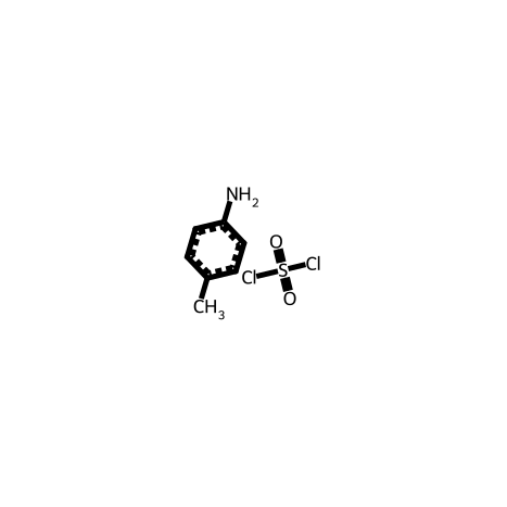 Cc1ccc(N)cc1.O=S(=O)(Cl)Cl